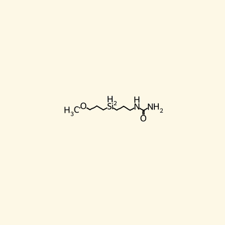 COCCC[SiH2]CCCNC(N)=O